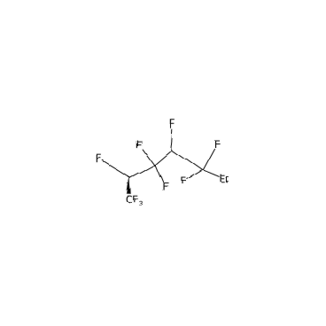 [CH2]CC(F)(F)C(F)C(F)(F)[C@H](F)C(F)(F)F